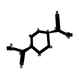 CC(C)(C)C(=O)[C@H]1CC[C@H](C(=O)C(C)(C)C)CC1